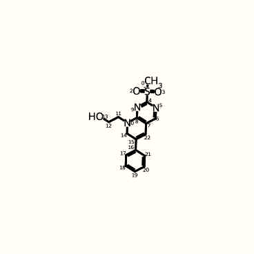 CS(=O)(=O)c1ncc2c(n1)N(CCO)CC(c1ccccc1)=C2